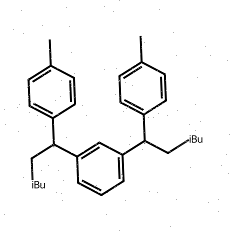 CCC(C)C[C](c1ccc(C)cc1)c1cccc([C](CC(C)CC)c2ccc(C)cc2)c1